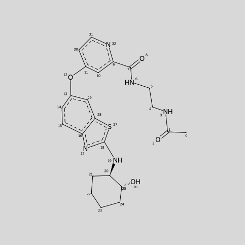 CC(=O)NCCNC(=O)c1cc(Oc2ccc3nc(N[C@@H]4CCCC[C@H]4O)sc3c2)ccn1